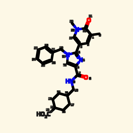 Cc1cc(-c2nc(C(=O)NCC3CCC(C(=O)O)CC3)cn2Cc2ccccc2)cn(C)c1=O